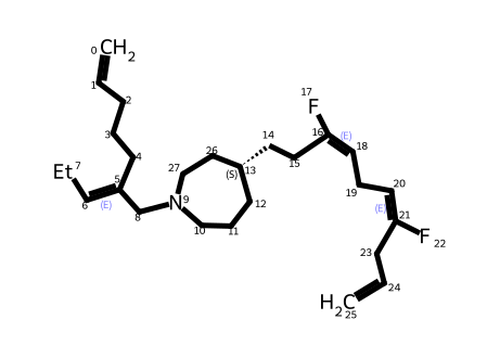 C=CCCC/C(=C\CC)CN1CCC[C@@H](CC/C(F)=C\C/C=C(/F)CC=C)CC1